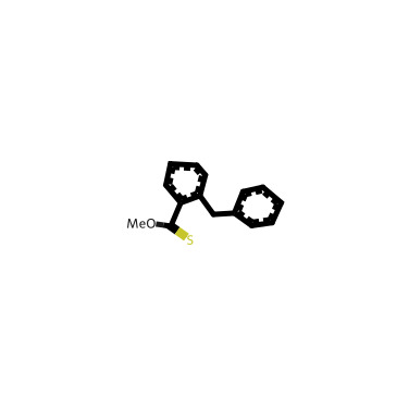 COC(=S)c1ccccc1Cc1ccccc1